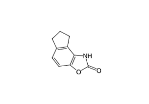 O=c1[nH]c2c3c(ccc2o1)CCC3